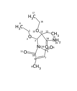 CCOC(N1C(=O)C=C(C)C1=O)C(CC)(OCC)C(N)=O